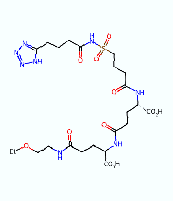 CCOCCNC(=O)CCC(NC(=O)CC[C@H](NC(=O)CCCS(=O)(=O)NC(=O)CCCc1nnn[nH]1)C(=O)O)C(=O)O